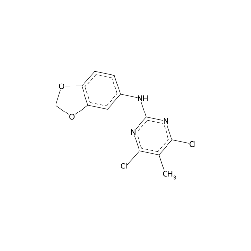 Cc1c(Cl)nc(Nc2ccc3c(c2)OCO3)nc1Cl